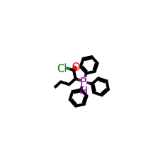 CCCC(C(=O)Cl)[PH](c1ccccc1)(c1ccccc1)c1ccccc1